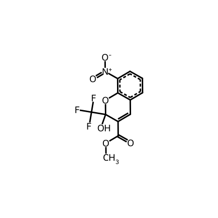 COC(=O)C1=Cc2cccc([N+](=O)[O-])c2OC1(O)C(F)(F)F